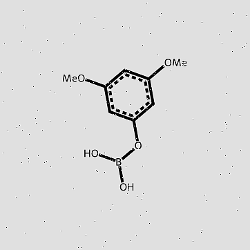 COc1cc(OC)cc(OB(O)O)c1